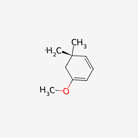 [CH2][C@@]1(C)C=CC=C(OC)C1